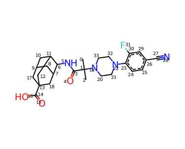 CC(C)(C(=O)NC1C2CC3CC1CC(C(=O)O)(C3)C2)N1CCN(c2ccc(C#N)cc2F)CC1